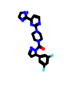 O=C(N1CCN(c2nccc(C3=NCCN3)n2)CC1)N1N=CCC1c1cc(F)cc(F)c1